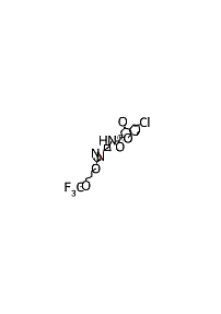 O=C1C[C@H](C(=O)NC23CC(n4cc(OCCCOC(F)(F)F)cn4)(C2)C3)Oc2ccc(Cl)cc21